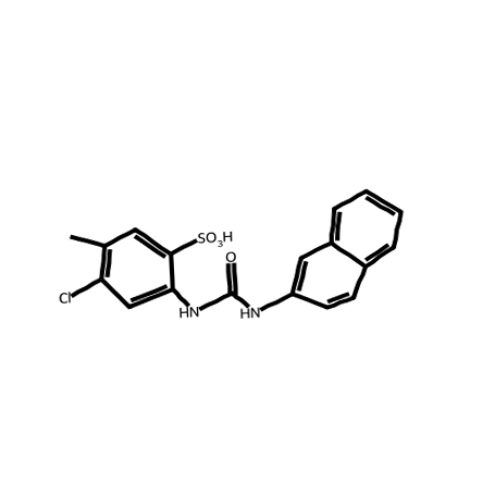 Cc1cc(S(=O)(=O)O)c(NC(=O)Nc2ccc3ccccc3c2)cc1Cl